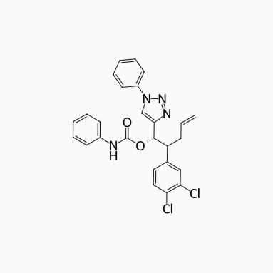 C=CCC(c1ccc(Cl)c(Cl)c1)[C@H](OC(=O)Nc1ccccc1)c1cn(-c2ccccc2)nn1